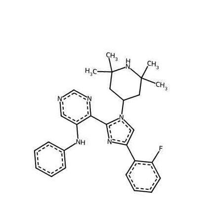 CC1(C)CC(n2cc(-c3ccccc3F)nc2-c2ncncc2Nc2ccccc2)CC(C)(C)N1